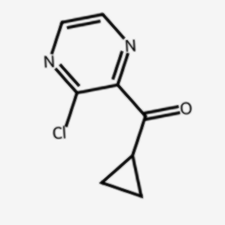 O=C(c1nccnc1Cl)C1CC1